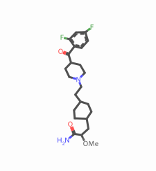 COC(CC1CCC(CCN2CCC(C(=O)c3ccc(F)cc3F)CC2)CC1)C(N)=O